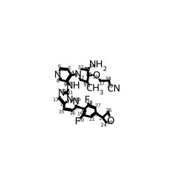 C[C@H]1CN(c2ccncc2Nc2ncc3ccc(-c4c(F)cc(C5COC5)cc4F)nn23)C[C@@H](N)[C@H]1OCCC#N